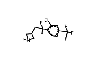 FC(F)(F)c1ccc(C(F)(F)CC2CNC2)c(Cl)c1